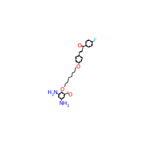 Nc1cc(N)c(OCCCCCCCCOc2ccc(C=CC(=O)c3ccc(F)cc3)cc2)c([C]=O)c1